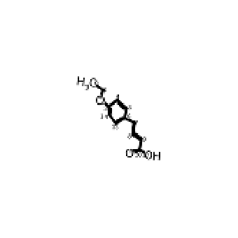 CCOc1ccc(CC=CC(=O)O)cc1